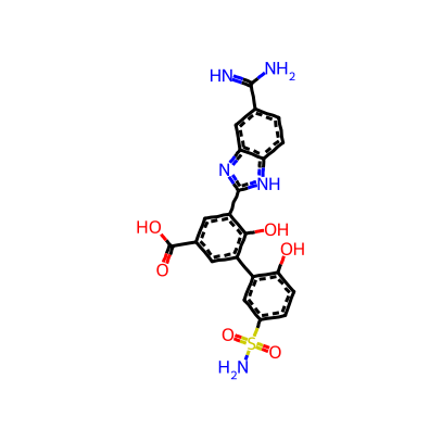 N=C(N)c1ccc2[nH]c(-c3cc(C(=O)O)cc(-c4cc(S(N)(=O)=O)ccc4O)c3O)nc2c1